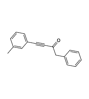 Cc1cccc(C#CC(=O)Cc2ccccc2)c1